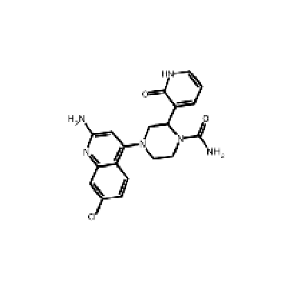 NC(=O)N1CCN(c2cc(N)nc3cc(Cl)ccc23)CC1c1ccc[nH]c1=O